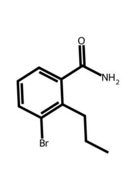 CCCc1c(Br)cccc1C(N)=O